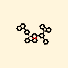 C1=C(c2cc(-c3ccccc3)cc(-n3c4ccccc4c4ccccc43)c2)CCC(N(c2ccc(-c3cccc4ccccc34)cc2)c2ccccc2-c2ccccc2)=C1